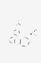 COC(=O)Oc1ccc(Cc2sccccccc2Cc2ccccc2)cc1.CS(=O)(=O)O